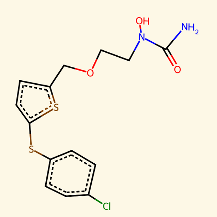 NC(=O)N(O)CCOCc1ccc(Sc2ccc(Cl)cc2)s1